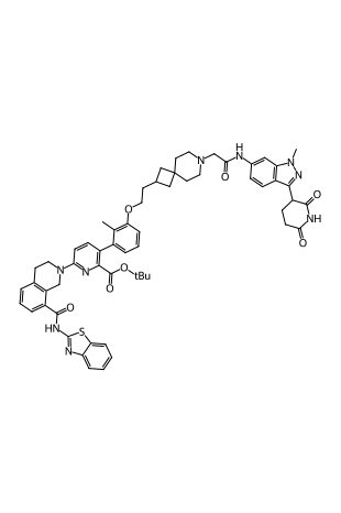 Cc1c(OCCC2CC3(CCN(CC(=O)Nc4ccc5c(C6CCC(=O)NC6=O)nn(C)c5c4)CC3)C2)cccc1-c1ccc(N2CCc3cccc(C(=O)Nc4nc5ccccc5s4)c3C2)nc1C(=O)OC(C)(C)C